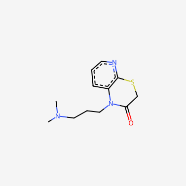 CN(C)CCCN1C(=O)CSc2ncccc21